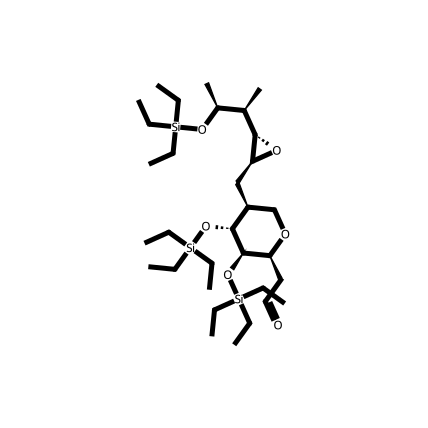 CC[Si](CC)(CC)O[C@@H]1[C@@H](C[C@@H]2O[C@H]2[C@H](C)[C@H](C)O[Si](CC)(CC)CC)CO[C@@H](CC=O)[C@H]1O[Si](CC)(CC)CC